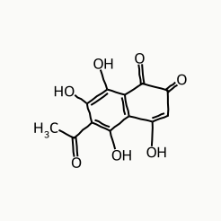 CC(=O)c1c(O)c(O)c2c(c1O)C(O)=CC(=O)C2=O